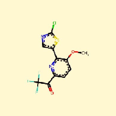 COc1ccc(C(=O)C(F)(F)F)nc1-c1cnc(Cl)s1